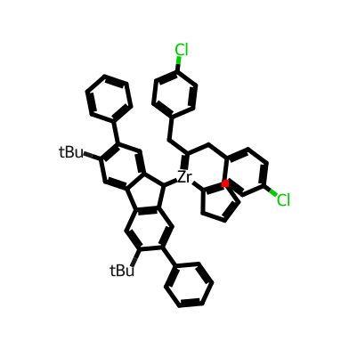 CC(C)(C)c1cc2c(cc1-c1ccccc1)[CH]([Zr]([C]1=CC=CC1)=[C](Cc1ccc(Cl)cc1)Cc1ccc(Cl)cc1)c1cc(-c3ccccc3)c(C(C)(C)C)cc1-2